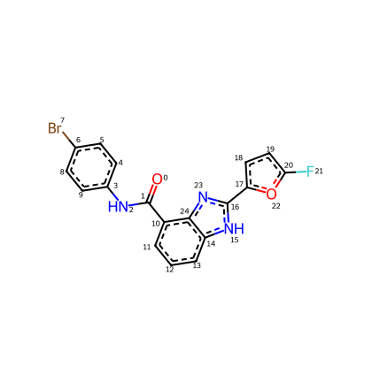 O=C(Nc1ccc(Br)cc1)c1cccc2[nH]c(-c3ccc(F)o3)nc12